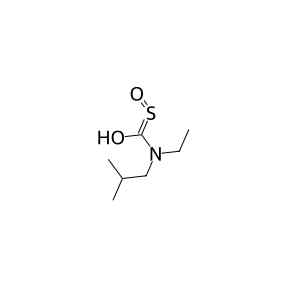 CCN(CC(C)C)C(O)=S=O